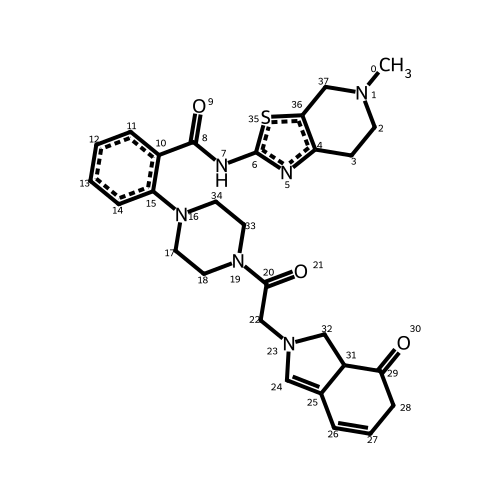 CN1CCc2nc(NC(=O)c3ccccc3N3CCN(C(=O)CN4C=C5C=CCC(=O)C5C4)CC3)sc2C1